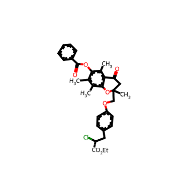 CCOC(=O)C(Cl)Cc1ccc(OCC2(C)CC(=O)c3c(C)c(OC(=O)c4ccccc4)c(C)c(C)c3O2)cc1